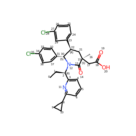 CC[C@H](c1cccc(C2CC2)n1)N1C(=O)[C@](C)(CC(=O)O)C[C@H](c2cccc(Cl)c2)[C@H]1c1ccc(Cl)cc1